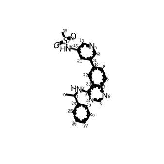 CC(Nc1ncnc2ccc(-c3cncc(NS(C)(=O)=O)c3)cc12)c1ccccc1